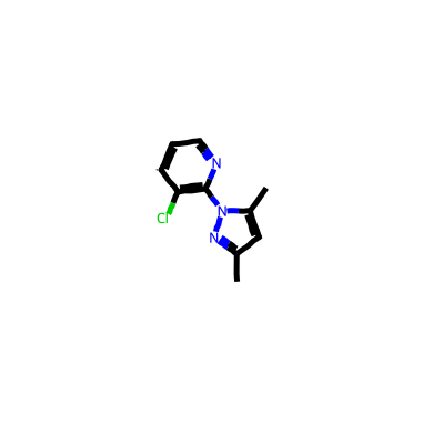 Cc1cc(C)n(-c2ncc[c]c2Cl)n1